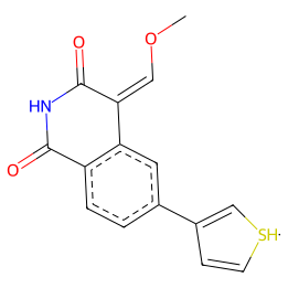 COC=C1C(=O)NC(=O)c2ccc(C3=C[SH]C=C3)cc21